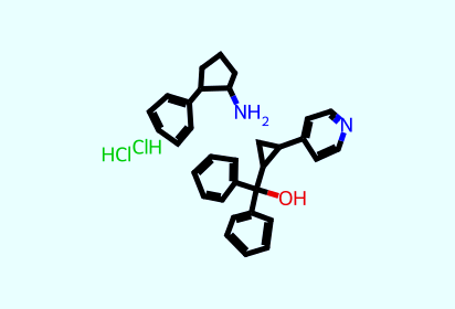 Cl.Cl.NC1CCCC1c1ccccc1.OC(c1ccccc1)(c1ccccc1)C1CC1c1ccncc1